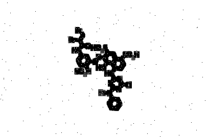 CCN(c1ccccc1)c1nc(Cl)nc(Nc2ccc(S(=O)(=O)O)c3cc(S(=O)(=O)O)c(N=Nc4cc(NC(=O)C(Br)CBr)ccc4S(=O)(=O)O)c(O)c23)n1